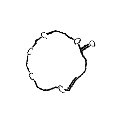 O=C1CCC=CCCCCCCCCCCO1